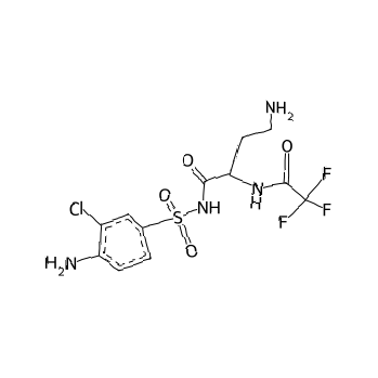 NCCC(NC(=O)C(F)(F)F)C(=O)NS(=O)(=O)c1ccc(N)c(Cl)c1